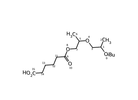 CC(C)COC(C)COC(C)COC(=O)CCCCC(=O)O